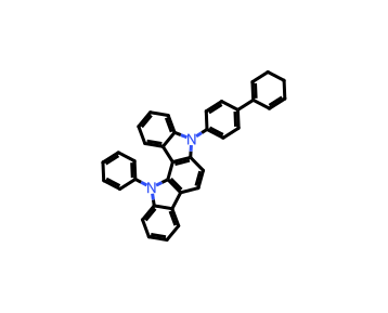 C1=CC(c2ccc(-n3c4ccccc4c4c3ccc3c5ccccc5n(-c5ccccc5)c34)cc2)=CCC1